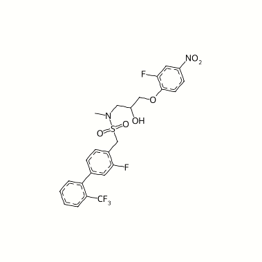 CN(CC(O)COc1ccc([N+](=O)[O-])cc1F)S(=O)(=O)Cc1ccc(-c2ccccc2C(F)(F)F)cc1F